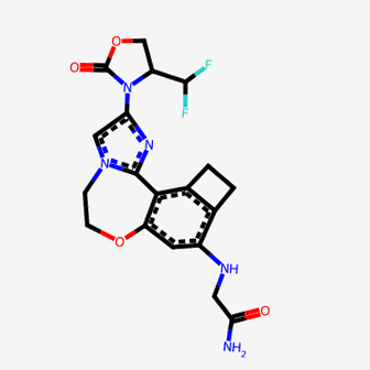 NC(=O)CNc1cc2c(c3c1CC3)-c1nc(N3C(=O)OCC3C(F)F)cn1CCO2